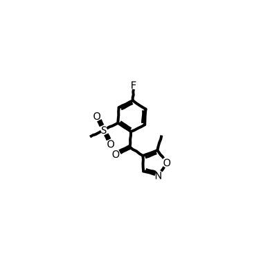 Cc1oncc1C(=O)c1ccc(F)cc1S(C)(=O)=O